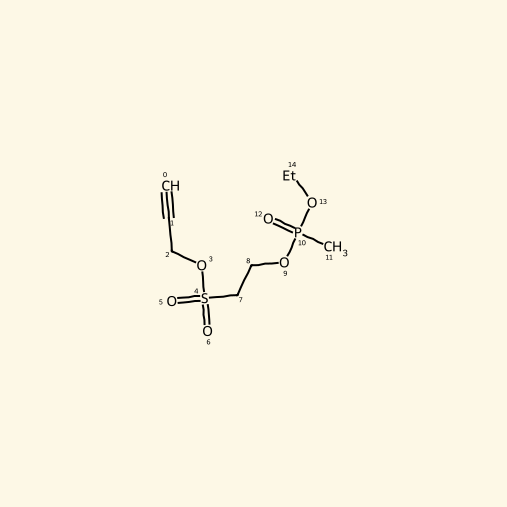 C#CCOS(=O)(=O)CCOP(C)(=O)OCC